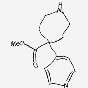 COC(=O)C1(c2ccncc2)CCNCC1